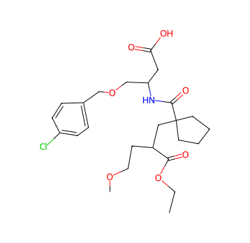 CCOC(=O)C(CCOC)CC1(C(=O)NC(COCc2ccc(Cl)cc2)CC(=O)O)CCCC1